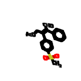 CC(=O)OCC(=C(C=O)c1ccccc1)c1ccc(S(C)(=O)=O)cc1